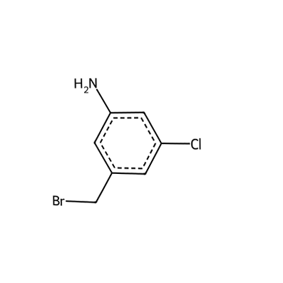 Nc1cc(Cl)cc(CBr)c1